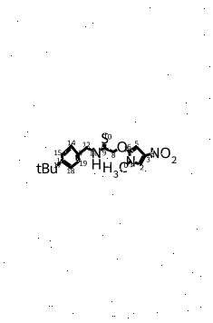 Cn1cc([N+](=O)[O-])cc1OCC(=S)NCc1ccc(C(C)(C)C)cc1